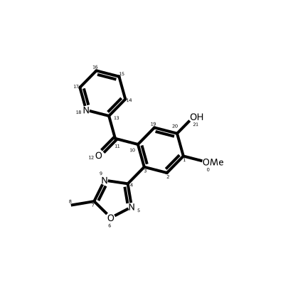 COc1cc(-c2noc(C)n2)c(C(=O)c2ccccn2)cc1O